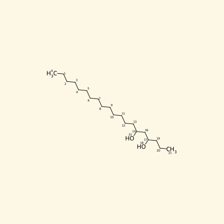 CCCCCCCCCCCCCCC(O)CC(O)CCC